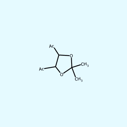 CC(=O)C1OC(C)(C)OC1C(C)=O